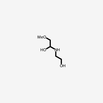 COCC(O)NCCO